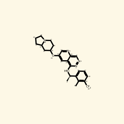 Cc1c([C@@H](C)Nc2nncc3ncc(OC4CCN5CCCC5C4)cc23)cccc1C(F)(F)F